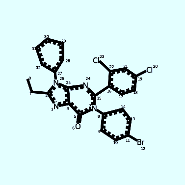 CCc1nc2c(=O)n(-c3ccc(Br)cc3)c(-c3ccc(Cl)cc3Cl)nc2n1-c1ccccc1